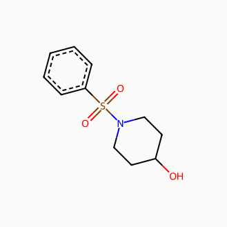 O=S(=O)(c1ccccc1)N1CCC(O)CC1